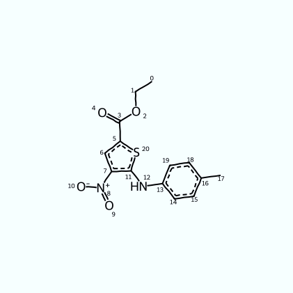 CCOC(=O)c1cc([N+](=O)[O-])c(Nc2ccc(C)cc2)s1